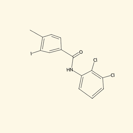 Cc1ccc(C(=O)Nc2cccc(Cl)c2Cl)cc1I